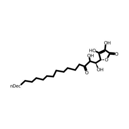 CCCCCCCCCCCCCCCCCCCCCC(=O)C(O)[C@H](O)[C@H]1OC(=O)C(O)=C1O